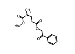 CN(CCC(=O)OCC(=O)c1ccccc1)C(=O)OC(C)(C)C